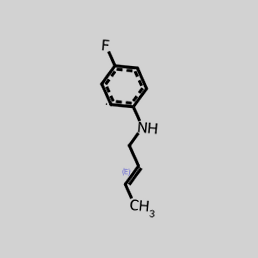 C/C=C/CNc1[c]cc(F)cc1